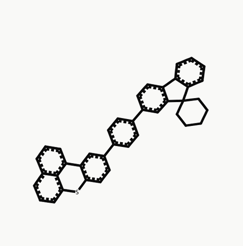 c1ccc2c(c1)-c1ccc(-c3ccc(-c4ccc5c(c4)-c4cccc6cccc(c46)S5)cc3)cc1C21CCCCC1